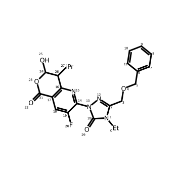 CCn1c(COCc2ccccc2)nn(-c2nc3c(cc2F)C(=O)OC(O)C3C(C)C)c1=O